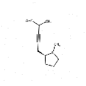 CC(C#CC[C@@H]1CCCN1C)C=O